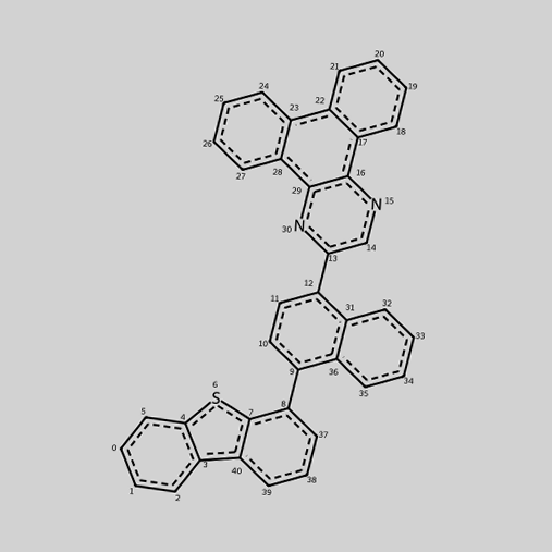 c1ccc2c(c1)sc1c(-c3ccc(-c4cnc5c6ccccc6c6ccccc6c5n4)c4ccccc34)cccc12